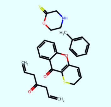 C=CCC(=O)CC=C.Cc1ccccc1.O=c1c2c(oc3ccccc13)C=CCS2.S=C1CNCCO1